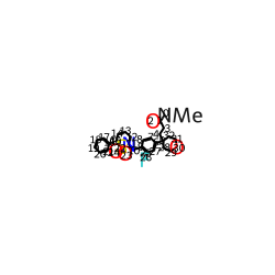 CNC(=O)CCC1(c2ccc(CN3CCC[C@H](c4ccccc4)S3(=O)=O)c(F)c2)CCOCC1